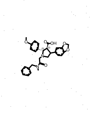 COc1ccc([C@@H]2[C@@H](C(=O)O)C(c3ccc4c(c3)OCO4)CN2CC(=O)N(C)Cc2ccccc2)cc1